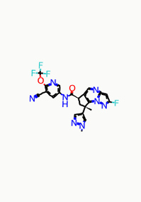 Cn1cc([C@]2(C)C[C@@H](C(=O)Nc3cnc(OC(F)(F)F)c(C#N)c3)c3cnc4cc(F)nn4c32)cn1